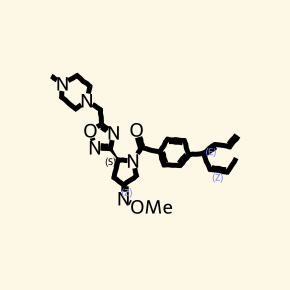 C=C/C=C(\C=C/C)c1ccc(C(=O)N2C/C(=N\OC)C[C@H]2c2noc(CN3CCN(C)CC3)n2)cc1